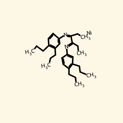 CCCc1ccc(N=C(CC)C(CC)=Nc2ccc(CCC)c(CCC)c2)cc1CCC.[Ni]